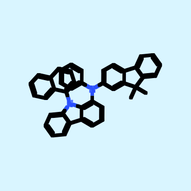 CC1(C)c2ccccc2-c2ccc(N(c3ccccc3)c3cccc4c5ccccc5n(-c5cccc6ccccc56)c34)cc21